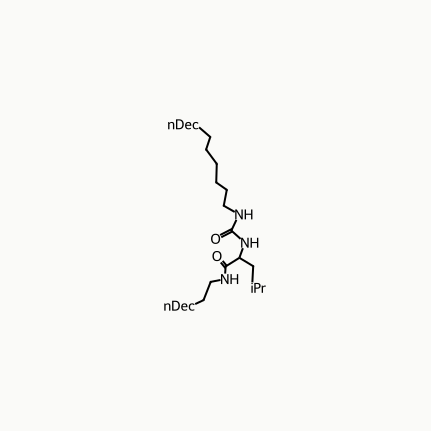 CCCCCCCCCCCCCCCCNC(=O)NC(CC(C)C)C(=O)NCCCCCCCCCCCC